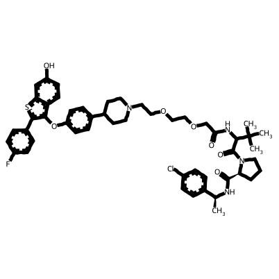 C[C@H](NC(=O)[C@@H]1CCCN1C(=O)C(NC(=O)COCCOCCN1CCC(c2ccc(Oc3c(-c4ccc(F)cc4)sc4cc(O)ccc34)cc2)CC1)C(C)(C)C)c1ccc(Cl)cc1